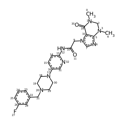 CN1CN(C)c2ncn(CC(=O)Nc3ccc(N4CCN(Cc5cccc(F)c5)CC4)cn3)c2C1=O